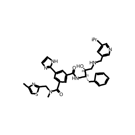 Cc1csc(CN(C)C(=O)c2cc(C(=O)N[C@@H](Cc3ccccc3)[C@H](O)CNCc3cncc(C(C)C)c3)cc(-c3ncc[nH]3)c2)n1